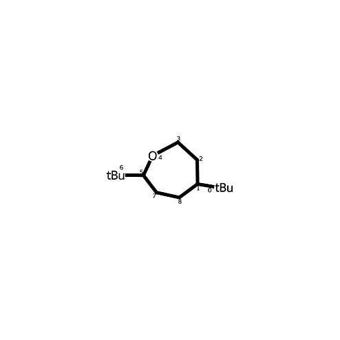 CC(C)(C)C1CCOC(C(C)(C)C)CC1